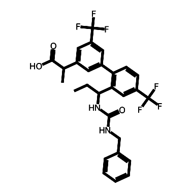 CCC(NC(=O)NCc1ccccc1)c1cc(C(F)(F)F)ccc1-c1cc(C(C)C(=O)O)cc(C(F)(F)F)c1